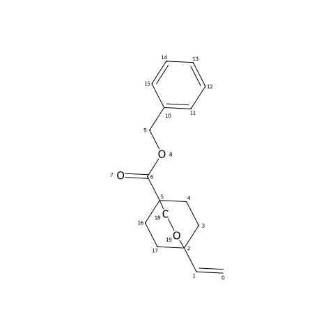 C=CC12CCC(C(=O)OCc3ccccc3)(CC1)CO2